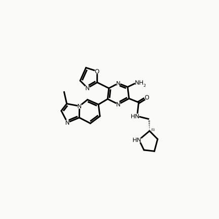 Cc1cnc2ccc(-c3nc(C(=O)NC[C@@H]4CCCN4)c(N)nc3-c3ncco3)cn12